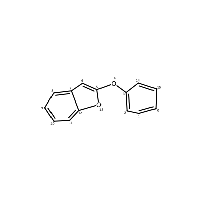 c1ccc(Oc2cc3ccccc3o2)cc1